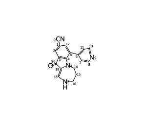 N#Cc1cc2c(c(-c3ccncc3)c1)N1CCCNC=C1C2=O